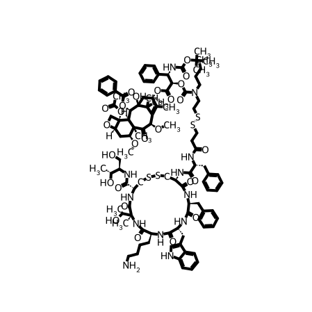 CCCCN(CCSSCCC(=O)N[C@H](Cc1ccccc1)C(=O)N[C@H]1CSSC[C@@H](C(=O)N[C@H](CO)[C@@H](C)O)NC(=O)[C@](C)([C@@H](C)O)NC(=O)[C@H](CCCCN)NC(=O)[C@@H](Cc2c[nH]c3ccccc23)NC(=O)[C@H](Cc2ccccc2)NC1=O)C(=O)O[C@@H](C(=O)O[C@H]1C[C@@]2(O)[C@@H](OC(=O)c3ccccc3)[C@@H]3[C@]4(OC(C)=O)CO[C@@H]4C[C@H](OC)[C@@]3(C)C(=O)[C@H](OC)C(=C1C)C2(C)C)[C@@H](NC(=O)OC(C)(C)C)c1ccccc1